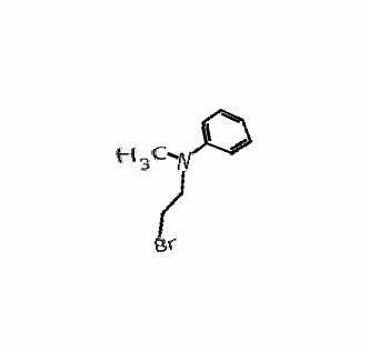 CN(CCBr)c1ccccc1